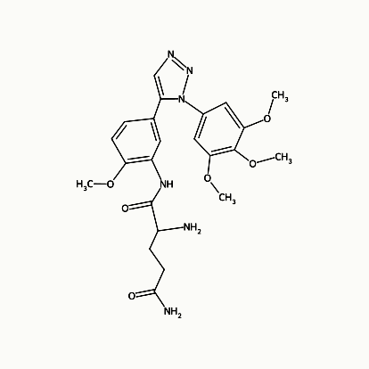 COc1ccc(-c2cnnn2-c2cc(OC)c(OC)c(OC)c2)cc1NC(=O)C(N)CCC(N)=O